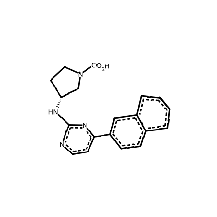 O=C(O)N1CC[C@@H](Nc2nccc(-c3ccc4ccccc4c3)n2)C1